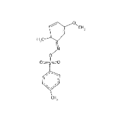 [CH2]C1C=CC(OC)=C/C1=N/OS(=O)(=O)c1ccc(C)cc1